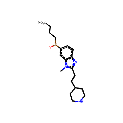 Cn1c(CCC2CCNCC2)nc2ccc([S+]([O-])CCCC(=O)O)cc21